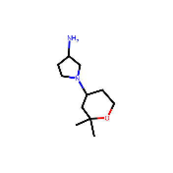 CC1(C)CC(N2CCC(N)C2)CCO1